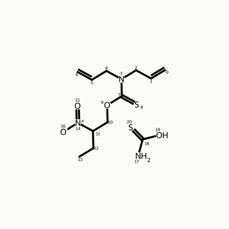 C=CCN(CC=C)C(=S)OCC(CC)[N+](=O)[O-].NC(O)=S